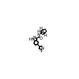 CN1[C@@H]2CC[C@H]1CC(NC(=O)c1n[nH]c3ccc(-c4cnn(C)c4)cc13)C2